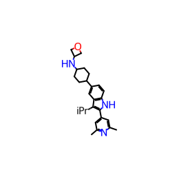 Cc1cc(-c2[nH]c3ccc(C4CCC(NC5COC5)CC4)cc3c2C(C)C)cc(C)n1